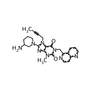 CC#CCn1c(N2CCCC(N)C2)nc2c1c(=O)n(Cc1nccc3ncccc13)c(=O)n2C